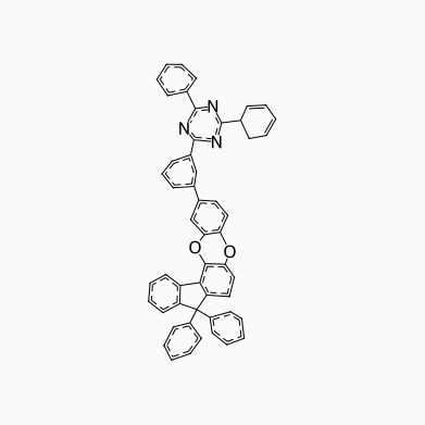 C1=CCC(c2nc(-c3ccccc3)nc(-c3cccc(-c4ccc5c(c4)Oc4c(ccc6c4-c4ccccc4C6(c4ccccc4)c4ccccc4)O5)c3)n2)C=C1